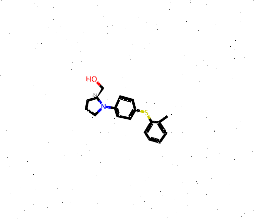 Cc1ccccc1Sc1ccc(N2CCC[C@H]2CO)cc1